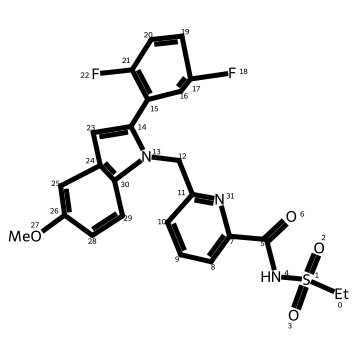 CCS(=O)(=O)NC(=O)c1cccc(Cn2c(-c3cc(F)ccc3F)cc3cc(OC)ccc32)n1